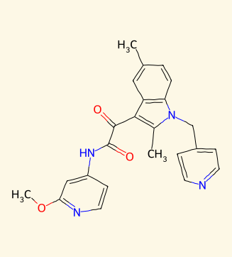 COc1cc(NC(=O)C(=O)c2c(C)n(Cc3ccncc3)c3ccc(C)cc23)ccn1